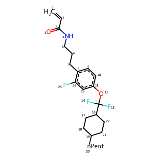 C=CC(=O)NCCCc1ccc(OC(F)(F)C2CCC(CCCCC)CC2)cc1F